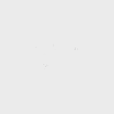 CCCCBC(C)=N